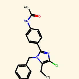 CCCC(=O)Nc1ccc(-c2nc(Cl)c(CC#N)n2Cc2ccccc2)cc1